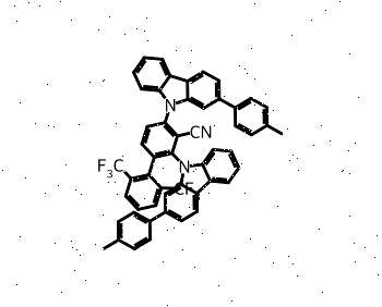 Cc1ccc(-c2ccc3c4ccccc4n(-c4ccc(-c5c(C(F)(F)F)cccc5C(F)(F)F)c(-n5c6ccccc6c6ccc(-c7ccc(C)cc7)cc65)c4C#N)c3c2)cc1